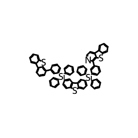 c1ccc([Si](c2ccccc2)(c2cccc(-c3cccc4c3sc3ccccc34)c2)c2ccc3sc4ccc([Si](c5ccccc5)(c5ccccc5)c5cccc(-c6nccc7c6sc6ccccc67)c5)cc4c3c2)cc1